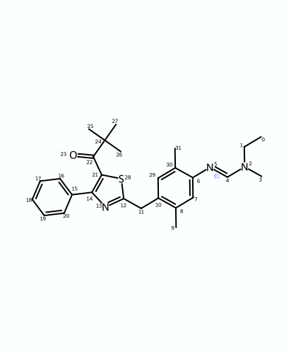 CCN(C)/C=N/c1cc(C)c(Cc2nc(-c3ccccc3)c(C(=O)C(C)(C)C)s2)cc1C